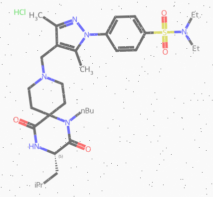 CCCCN1C(=O)[C@H](CC(C)C)NC(=O)C12CCN(Cc1c(C)nn(-c3ccc(S(=O)(=O)N(CC)CC)cc3)c1C)CC2.Cl